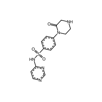 O=C1CNCCN1c1ccc(S(=O)(=O)Nc2ccncn2)cc1